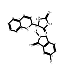 O=C1NC(=O)[C@@](CN2Cc3ccc(F)cc3C2=O)(C2C=Cc3ccccc3O2)N1